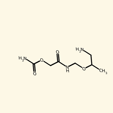 CC(CN)OCNC(=O)COC(N)=O